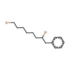 BrCCCCCCC(Br)Cc1ccccc1